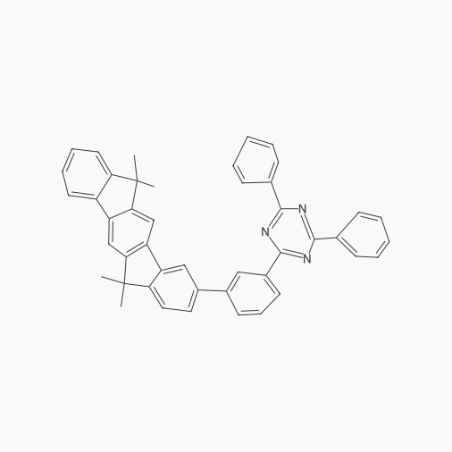 CC1(C)c2ccccc2-c2cc3c(cc21)-c1cc(-c2cccc(-c4nc(-c5ccccc5)nc(-c5ccccc5)n4)c2)ccc1C3(C)C